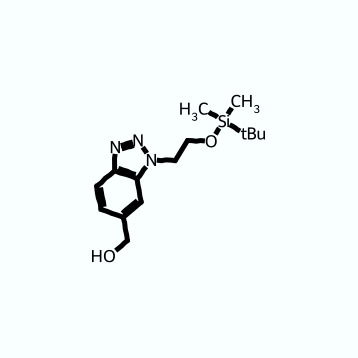 CC(C)(C)[Si](C)(C)OCCn1nnc2ccc(CO)cc21